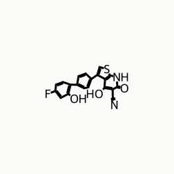 N#Cc1c(O)c2c(-c3ccc(-c4ccc(F)cc4O)cc3)csc2[nH]c1=O